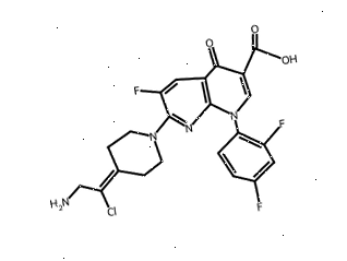 NCC(Cl)=C1CCN(c2nc3c(cc2F)c(=O)c(C(=O)O)cn3-c2ccc(F)cc2F)CC1